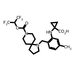 Cc1ccc(CN2CCCC23CCN(C(=O)OC(C(F)(F)F)C(F)(F)F)CC3)c(NC2(C(=O)O)CC2)c1